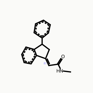 CNC(=O)/C=C1\CC(c2ccccc2)c2ccccc21